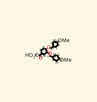 COc1ccc(COc2ccc(C(=O)C(=O)O)cc2OCc2ccc(OC)cc2)cc1